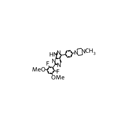 COc1cc(OC)c(F)c(-c2ncc3c(-c4ccc(N5CCN(C)CC5)cc4)n[nH]c3n2)c1F